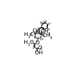 C/C(=C/C(=O)O)OC1CC(C)(C)N(Cc2ccccc2)C(C)(C)C1